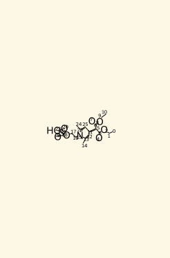 CCOC(=O)C(C(=O)OCC)=C1C=C(C)N(CCOS(=O)(=O)O)C(C)=C1